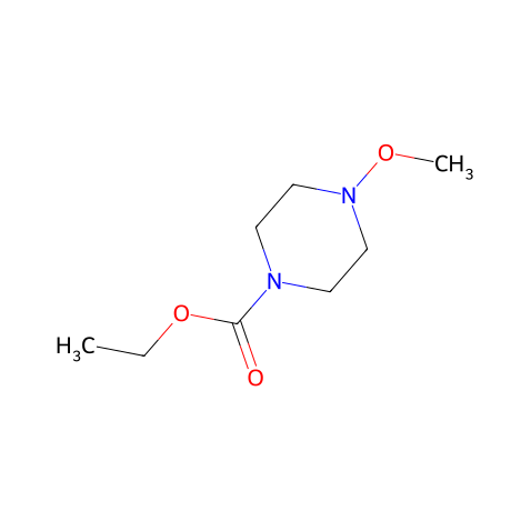 CCOC(=O)N1CCN(OC)CC1